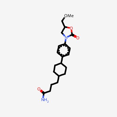 COCC1CN(c2ccc(C3CCC(CCCC(N)=O)CC3)cc2)C(=O)O1